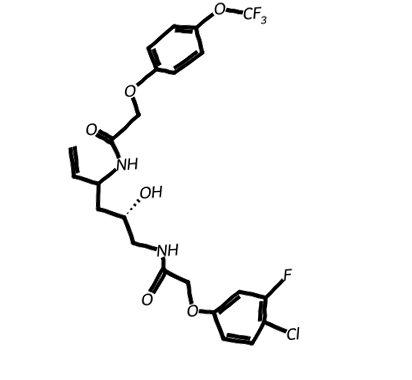 C=CC(C[C@H](O)CNC(=O)COc1ccc(Cl)c(F)c1)NC(=O)COc1ccc(OC(F)(F)F)cc1